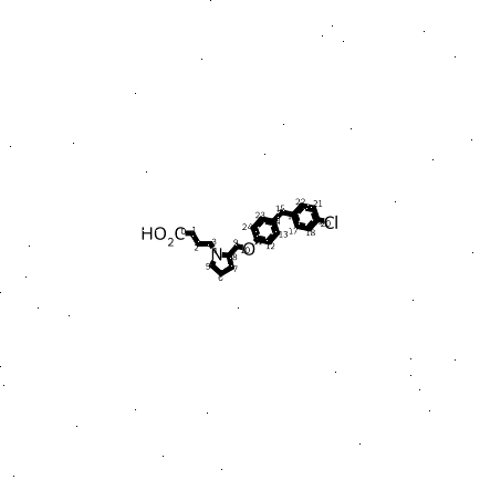 O=C(O)CCCN1CCCC1COc1ccc(Cc2ccc(Cl)cc2)cc1